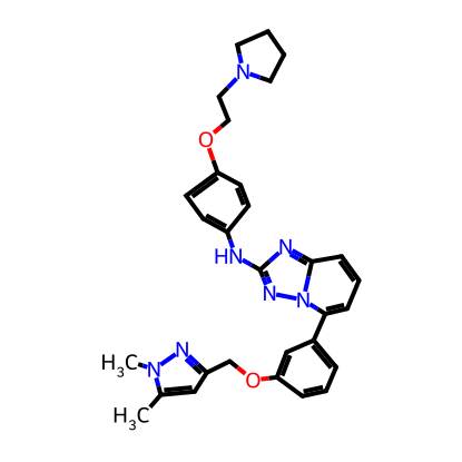 Cc1cc(COc2cccc(-c3cccc4nc(Nc5ccc(OCCN6CCCC6)cc5)nn34)c2)nn1C